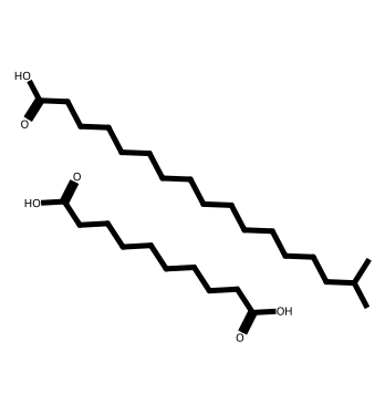 CC(C)CCCCCCCCCCCCCCC(=O)O.O=C(O)CCCCCCCCC(=O)O